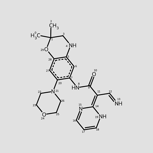 CC1(C)CNc2cc(NC(=O)/C(C=N)=C3\N=CC=CN3)c(N3CCOCC3)cc2O1